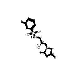 Cc1cccc(S(=O)(=O)NC[C@@H](O)CN2CC(C)CC2C)c1